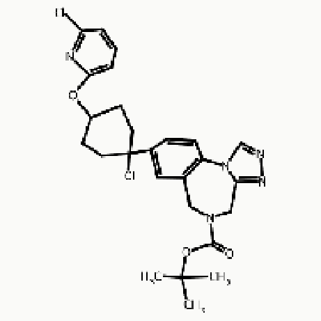 CC(C)(C)OC(=O)N1Cc2cc(C3(Cl)CCC(Oc4cccc(Cl)n4)CC3)ccc2-n2cnnc2C1